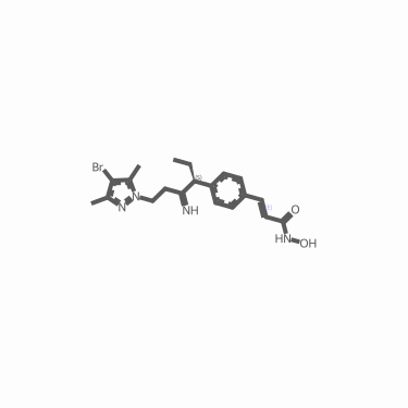 CC[C@H](C(=N)CCn1nc(C)c(Br)c1C)c1ccc(/C=C/C(=O)NO)cc1